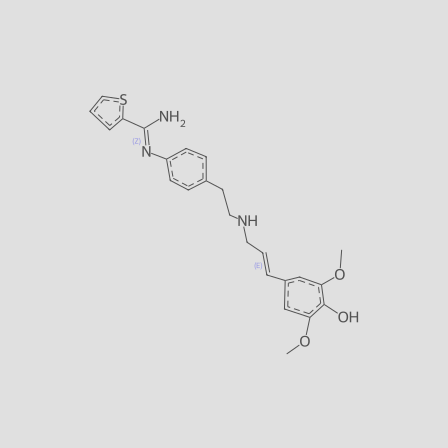 COc1cc(/C=C/CNCCc2ccc(/N=C(\N)c3cccs3)cc2)cc(OC)c1O